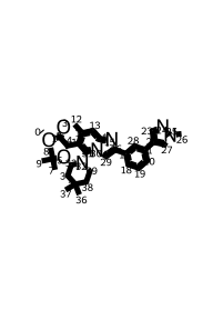 COC(=O)[C@@H](OC(C)(C)C)c1c(C)cc2nc(-c3cccc(-c4cnn(C)c4)c3)cn2c1N1CCC(C)(C)CC1